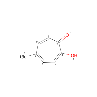 CC(C)(C)c1ccc(O)c(=O)cc1